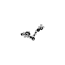 CC(C)(C)OC(=O)N[C@H]1CCC[C@H]2CC[C@@H](C(=O)N3CC(c4cnccc4OCCOCCOc4ccc(C5CCC(=O)NC5=O)cc4)C3)N2C1=O